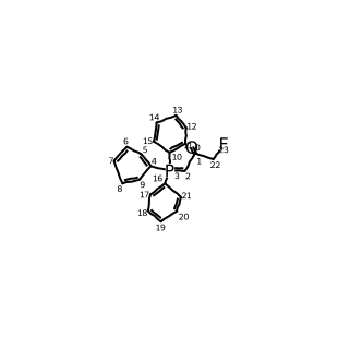 O=C(C=P(c1ccccc1)(c1ccccc1)c1ccccc1)CF